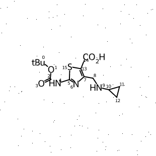 CC(C)(C)OC(=O)Nc1nc(CNC2CC2)c(C(=O)O)s1